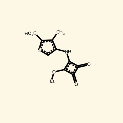 CCOc1c(Nc2csc(C(=O)O)c2C)c(=O)c1=O